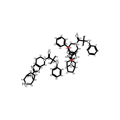 CC(C)(Oc1ccccc1)C(=O)N1CCc2nc(N3C4CCC3CN(C(=O)OCc3ccccc3)C4)sc2C1.CC(C)(Oc1ccccc1)C(=O)N1CCc2nc(N3C4CCC3CNC4)sc2C1